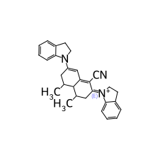 CC1CC(N2CCc3ccccc32)=CC2=C(C#N)/C(=[N+]3\CCc4ccccc43)CC(C)C21